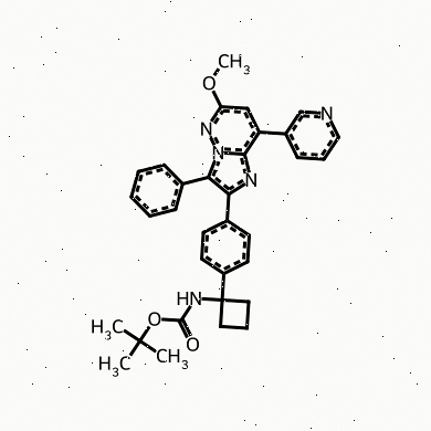 COc1cc(-c2cccnc2)c2nc(-c3ccc(C4(NC(=O)OC(C)(C)C)CCC4)cc3)c(-c3ccccc3)n2n1